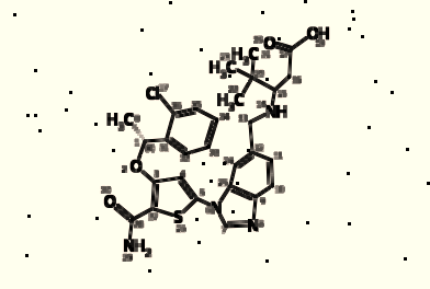 C[C@@H](Oc1cc(-n2cnc3ccc(CNC(CC(=O)O)C(C)(C)C)cc32)sc1C(N)=O)c1ccccc1Cl